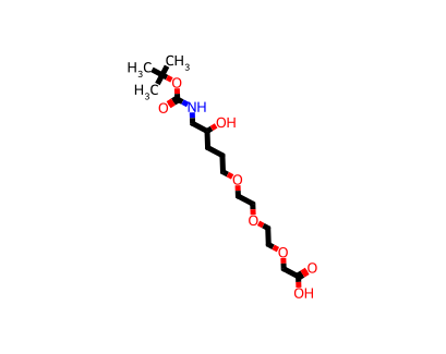 CC(C)(C)OC(=O)NCC(O)CCCOCCOCCOCC(=O)O